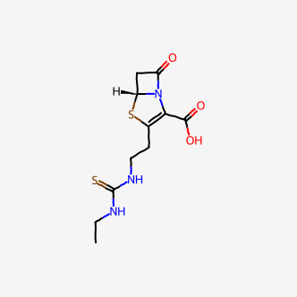 CCNC(=S)NCCC1=C(C(=O)O)N2C(=O)C[C@H]2S1